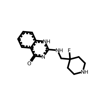 O=c1nc(NCC2(F)CCNCC2)[nH]c2ccccc12